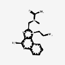 CN(Cc1nc2c(N)nc3ccccc3c2n1CCN)C(N)=O